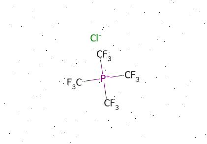 FC(F)(F)[P+](C(F)(F)F)(C(F)(F)F)C(F)(F)F.[Cl-]